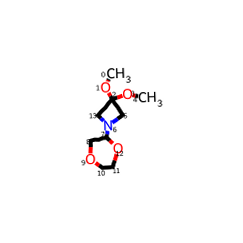 COC1(OC)CN(C2COCCO2)C1